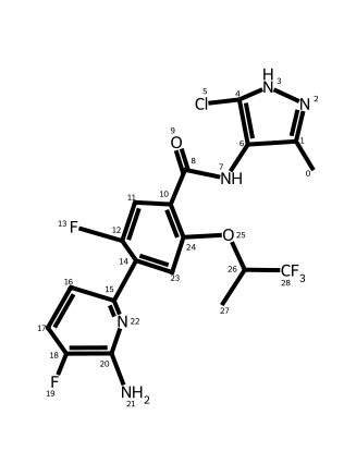 Cc1n[nH]c(Cl)c1NC(=O)c1cc(F)c(-c2ccc(F)c(N)n2)cc1OC(C)C(F)(F)F